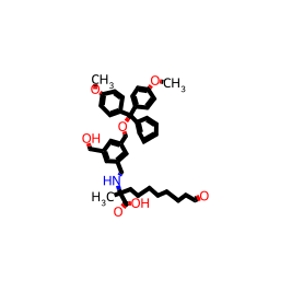 COc1ccc(C(OCc2cc(CO)cc(CNC(C)(CCCCCCCC=O)C(=O)O)c2)(c2ccccc2)c2ccc(OC)cc2)cc1